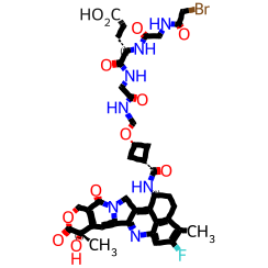 Cc1c(F)cc2nc3c(c4c2c1CC[C@@H]4NC(=O)[C@H]1C[C@@H](OCNC(=O)CNC(=O)[C@H](CCC(=O)O)NC(=O)CNC(=O)CBr)C1)Cn1c-3cc2c(c1=O)COC(=O)[C@@]2(C)O